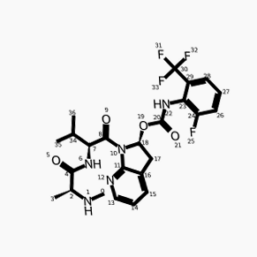 CN[C@@H](C)C(=O)N[C@H](C(=O)N1c2ncccc2C[C@@H]1OC(=O)Nc1c(F)cccc1C(F)(F)F)C(C)C